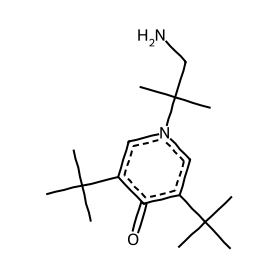 CC(C)(C)c1cn(C(C)(C)CN)cc(C(C)(C)C)c1=O